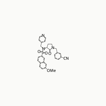 COc1ccc2ccc(S(=O)(=O)N(Cc3ccncc3)[C@H]3CCN(Cc4cccc(C#N)c4)C3=O)cc2c1